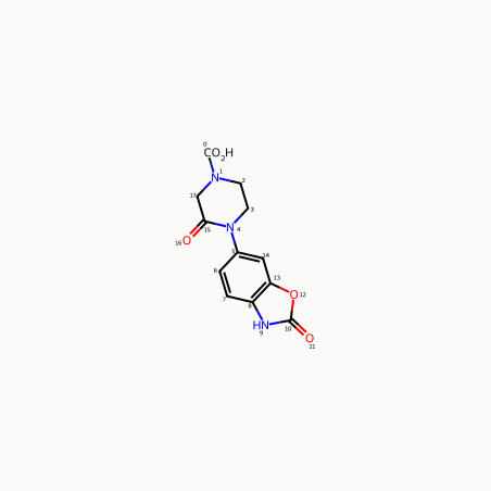 O=C(O)N1CCN(c2ccc3[nH]c(=O)oc3c2)C(=O)C1